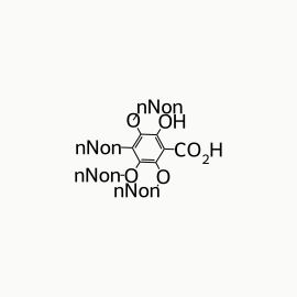 CCCCCCCCCOc1c(O)c(C(=O)O)c(OCCCCCCCCC)c(OCCCCCCCCC)c1CCCCCCCCC